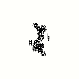 CC1(C)c2cc(N(c3ccccc3)c3ccc(-c4ccccc4)cc3-c3ccccc3)ccc2-c2cc3cc4c(cc3cc21)-c1ccc(N(c2ccccc2)c2ccc(-c3ccccc3)cc2-c2ccccc2)cc1C4(C)C